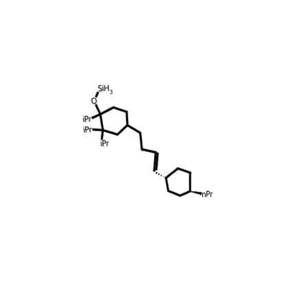 CCC[C@H]1CC[C@H](/C=C/CCC2CCC(O[SiH3])(C(C)C)C(C(C)C)(C(C)C)C2)CC1